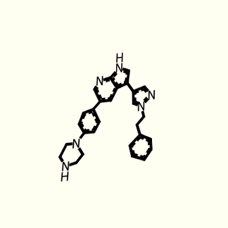 c1ccc(CCn2cc(-c3c[nH]c4ncc(-c5ccc(N6CCNCC6)cc5)cc34)cn2)cc1